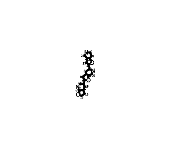 c1cc2oc(-c3cc4cc(-c5cnc6occc6c5)oc4cn3)cc2cn1